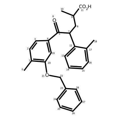 Cc1ccc(C(=O)C(CC(C)C(=O)O)c2ccccc2C)cc1OCc1ccccc1